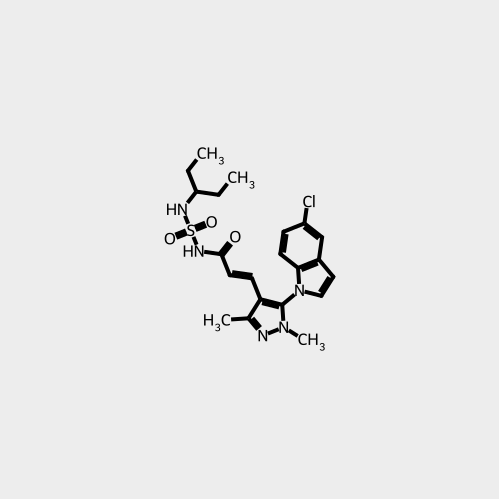 CCC(CC)NS(=O)(=O)NC(=O)C=Cc1c(C)nn(C)c1-n1ccc2cc(Cl)ccc21